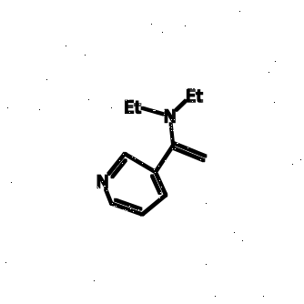 C=C(c1cccnc1)N(CC)CC